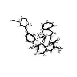 CN1CCOC(c2ccc(Nc3ncc4cc(Br)c(=O)n(C5Cc6ccccc6NS5(=O)=O)c4n3)cc2)C1